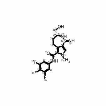 Cn1cc2c(c1C(=O)Nc1cc(F)c(F)c(F)c1)CC[C@H](CO)NS2=N